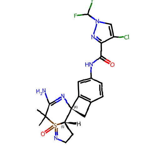 CC1(C)C(N)=N[C@@]2(Cc3ccc(NC(=O)c4nn(C(F)F)cc4Cl)cc32)[C@@H]2CCN=S21=O